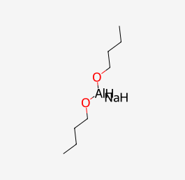 CCCC[O][AlH][O]CCCC.[NaH]